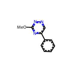 COc1nncc(-c2ccccc2)n1